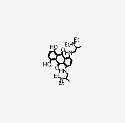 CCN(CC)C(C)CNc1ccc(NCC(C)N(CC)CC)c2c1C(=O)c1c(O)ccc(O)c1C2=O